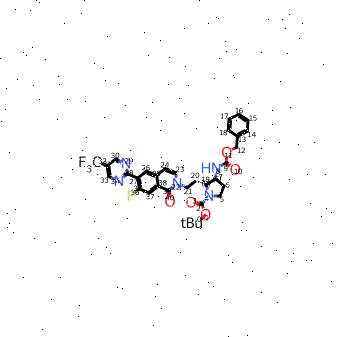 CC(C)(C)OC(=O)N1CC[C@H](NC(=O)OCc2ccccc2)[C@H]1CCn1ccc2cc(-c3ncc(C(F)(F)F)cn3)c(F)cc2c1=O